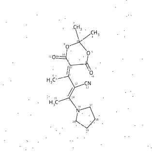 CC(=C1C(=O)OC(C)(C)OC1=O)/C(C#N)=C(\C)N1CCCC1